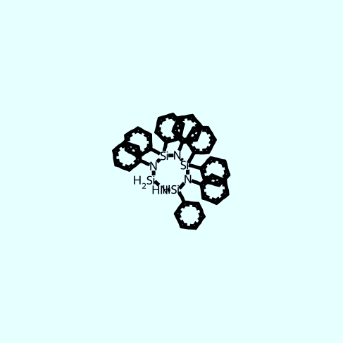 c1ccc(N2[SiH2]N[SiH](c3ccccc3)N(c3ccccc3)[Si](c3ccccc3)(c3ccccc3)N(c3ccccc3)[Si]2(c2ccccc2)c2ccccc2)cc1